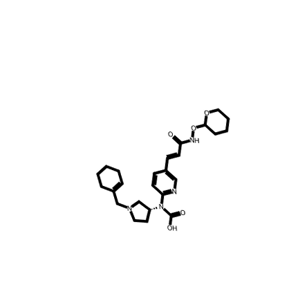 O=C(C=Cc1ccc(N(C(=O)O)[C@@H]2CCN(CC3=CCCCC3)C2)nc1)NOC1CCCCO1